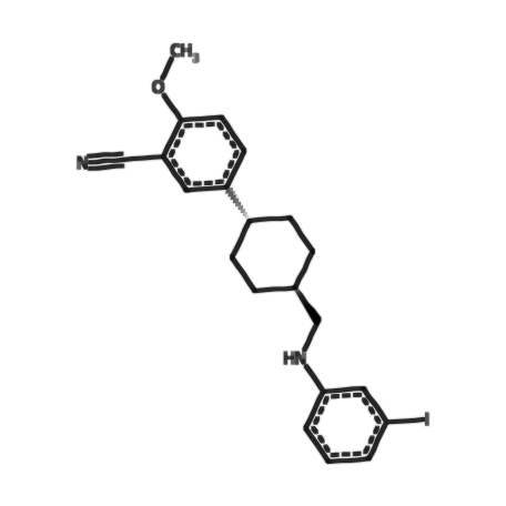 COc1ccc([C@H]2CC[C@H](CNc3cccc(I)c3)CC2)cc1C#N